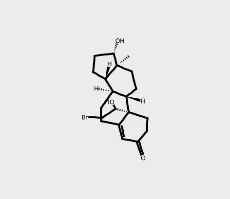 C[C@]12CC[C@H]3[C@@H](CCC4=CC(=O)CC[C@@]43C(O)CBr)[C@@H]1CC[C@@H]2O